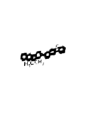 CC1(C)C2=CC(c3ccc4cc5c(cc4c3)sc3ccccc35)=CCC2c2cc3ccccc3cc21